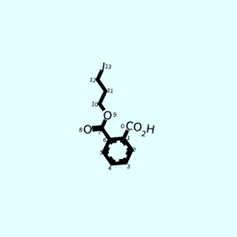 O=C(O)c1ccccc1C(=O)OCCCI